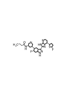 CCCC(=O)Nc1cncc(-c2cc3c(-c4nc5c(-c6ccc(F)s6)ccnc5[nH]4)n[nH]c3cc2F)c1